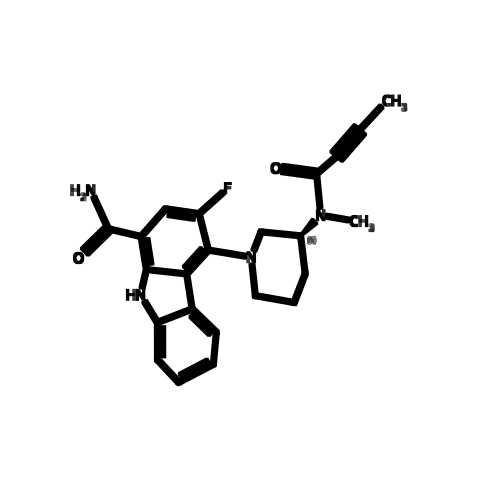 CC#CC(=O)N(C)[C@H]1CCCN(c2c(F)cc(C(N)=O)c3[nH]c4ccccc4c23)C1